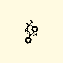 CCN(c1cccc(NC(=O)c2ccccc2)c1)C(C)C#N